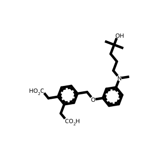 CN(CCCC(C)(C)O)c1cccc(OCc2ccc(CC(=O)O)c(CC(=O)O)c2)c1